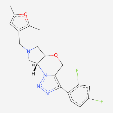 Cc1cc(CN2CC3OCc4c(-c5ccc(F)cc5F)nnn4[C@@H]3C2)c(C)o1